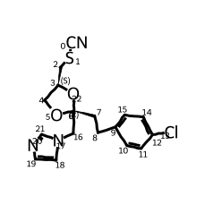 N#CSC[C@@H]1CO[C@@](CCc2ccc(Cl)cc2)(Cn2ccnc2)O1